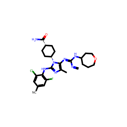 C=N/C(=N\c1c(C)nc(Nc2c(F)cc(C#N)cc2Cl)n1[C@H]1CC[C@@H](C(N)=O)CC1)NC1CCCOCC1